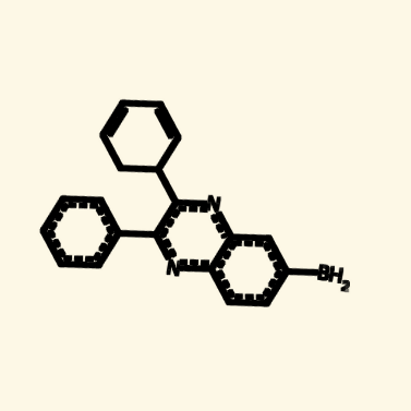 Bc1ccc2nc(-c3ccccc3)c(C3C=CC=CC3)nc2c1